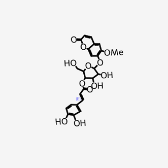 COc1cc2ccc(=O)oc2cc1OC1OC(CO)C(OC(=O)/C=C/c2ccc(O)c(O)c2)C(O)C1O